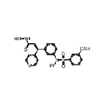 COc1cccc(S(=O)(=O)N(c2cccc(C(=CC(=O)NO)c3ccncc3)c2)C(C)C)c1